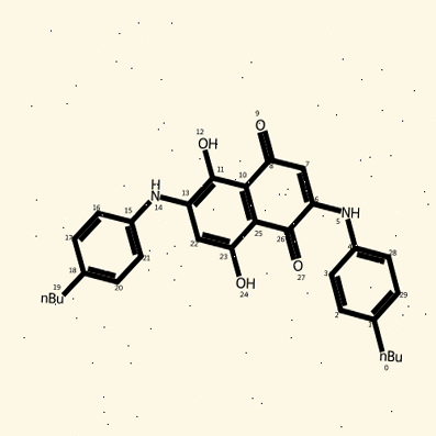 CCCCc1ccc(NC2=CC(=O)c3c(O)c(Nc4ccc(CCCC)cc4)cc(O)c3C2=O)cc1